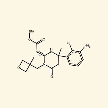 CC1(CN2C(=O)CC(C)(c3cccc(N)c3Cl)N/C2=N\C(=O)OC(C)(C)C)COC1